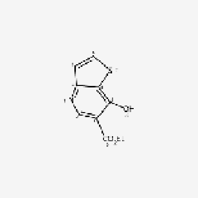 CCOC(=O)c1cnc2ccsc2c1O